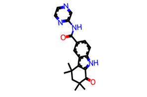 CC1(C)CC(C)(C)c2c([nH]c3ccc(C(=O)Nc4cnccn4)cc23)C1=O